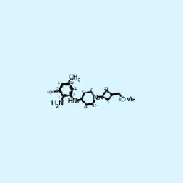 COCC1CC(N2CCC(Nc3cc(C)cc(F)c3N)CC2)C1